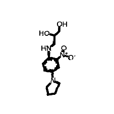 O=[N+]([O-])c1cc(N2CCCC2)ccc1NCC(O)CO